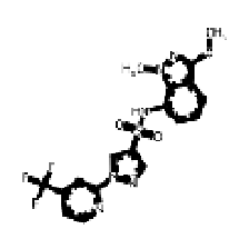 COc1nn(C)c2c(NS(=O)(=O)c3cnn(-c4cc(C(F)(F)F)ccn4)c3)cccc12